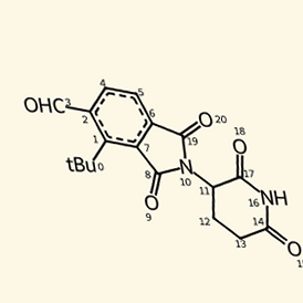 CC(C)(C)c1c(C=O)ccc2c1C(=O)N(C1CCC(=O)NC1=O)C2=O